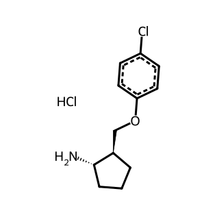 Cl.N[C@H]1CCC[C@@H]1COc1ccc(Cl)cc1